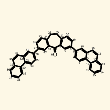 O=C1c2cc(-c3ccc4c(ccc5ccccc54)c3)ccc2CCc2ccc(-c3ccc4c(ccc5ccccc54)c3)cc21